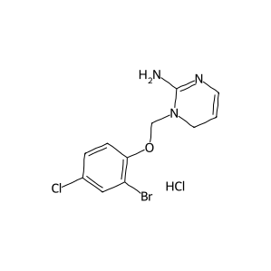 Cl.NC1=NC=CCN1COc1ccc(Cl)cc1Br